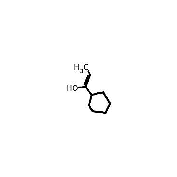 CC=C(O)C1CCCCC1